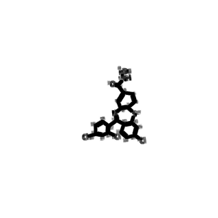 CCCCNC(=O)c1ccc2c(c1)N=C(c1ccc(Cl)cc1Cl)c1ccc(Cl)cc1S2